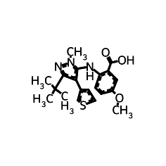 COc1ccc(Nc2c(-c3ccsc3)c(C(C)(C)C)nn2C)c(C(=O)O)c1